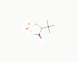 CC(C)(C)C1CS(=O)(=O)NC1=O